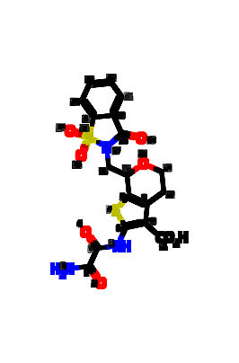 NC(=O)C(=O)Nc1sc2c(c1C(=O)O)CCOC2CN1C(=O)c2ccccc2S1(=O)=O